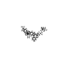 CC(C)(CCC(N)=O)COC(=O)c1sc2ccc(NS(=O)(=O)c3ccc(C(C)(C)C)cc3)cc2c1-c1ccccc1